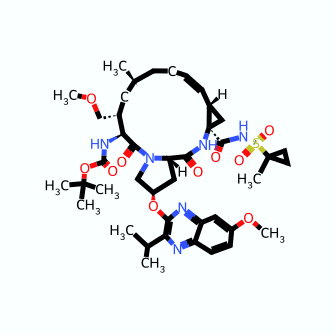 COC[C@@H]1C[C@@H](C)CC/C=C\[C@@H]2C[C@@]2(C(=O)NS(=O)(=O)C2(C)CC2)NC(=O)[C@@H]2C[C@@H](Oc3nc4cc(OC)ccc4nc3C(C)C)CN2C(=O)[C@H]1NC(=O)OC(C)(C)C